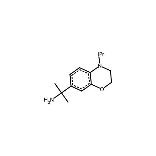 CC(C)N1CCOc2cc(C(C)(C)N)ccc21